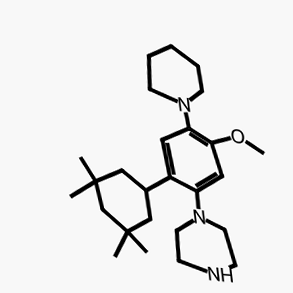 COc1cc(N2CCNCC2)c(C2CC(C)(C)CC(C)(C)C2)cc1N1CCCCC1